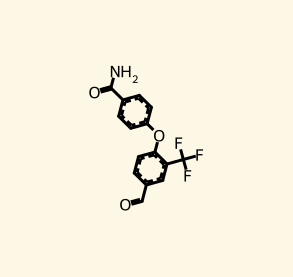 NC(=O)c1ccc(Oc2ccc(C=O)cc2C(F)(F)F)cc1